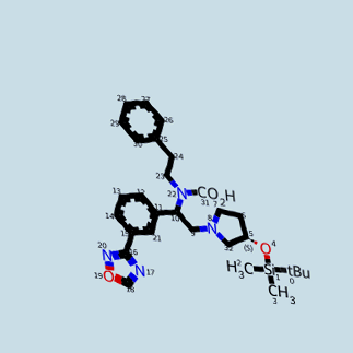 CC(C)(C)[Si](C)(C)O[C@H]1CCN(CC(c2cccc(-c3ncon3)c2)N(CCc2ccccc2)C(=O)O)C1